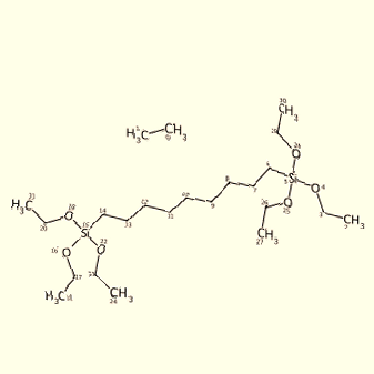 CC.CCO[Si](CCCCCCCCC[Si](OCC)(OCC)OCC)(OCC)OCC